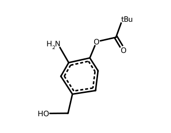 CC(C)(C)C(=O)Oc1ccc(CO)cc1N